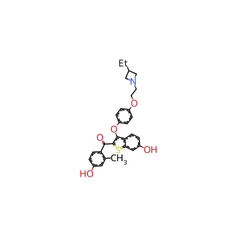 CCC1CN(CCOc2ccc(Oc3c(C(=O)c4ccc(O)cc4C)sc4cc(O)ccc34)cc2)C1